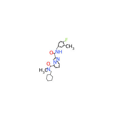 Cc1cc(CNC(=O)c2cn3c(C(=O)N(C)CC4CCCCC4)cccc3n2)ccc1F